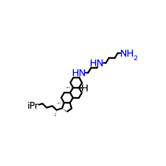 CC(C)CCC[C@@H](C)[C@H]1CCC2C3CC[C@H]4C[C@@H](NCCCNCCCCN)CC[C@]4(C)C3CC[C@@]21C